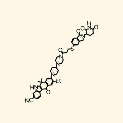 CCc1cc2c(cc1N1CCC(N3CCN(C(=O)CCSc4ccc5c(c4)CN(C4CCC(=O)NC4=O)C5=O)CC3)CC1)C(C)(C)c1[nH]c3cc(C#N)ccc3c1C2=O